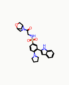 O=C(CNS(=O)(=O)c1ccc(N2CCCC2)c(-c2cc3ccccc3[nH]2)c1)N1CC2CC1CO2